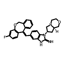 N=c1[nH]c2cc(/C=C3\c4ccccc4COc4cc(F)ccc43)ccc2n1[C@@H]1C[C@@H]2COCCN2C1